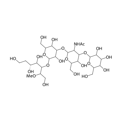 COC(CO)C(OC1OC(CO)C(O)C(OC2OC(CO)C(O)C(OC3OC(CO)C(O)C(O)C3O)C2NC(C)=O)C1O)C(O)[C@H](O)CCO